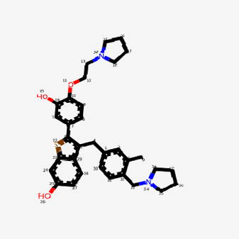 Cc1cc(Cc2c(-c3ccc(OCCN4CCCC4)c(O)c3)sc3cc(O)ccc23)ccc1CN1CCCC1